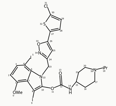 COc1ccc(I)c2c1c(I)c(OC(=O)NC1CCN(C(C)C)CC1)n2Cc1cc(-c2ccc(Cl)s2)on1